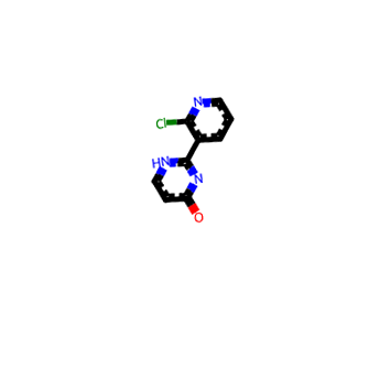 O=c1cc[nH]c(-c2cccnc2Cl)n1